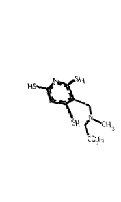 CN(CC(=O)O)Cc1c(S)cc(S)nc1S